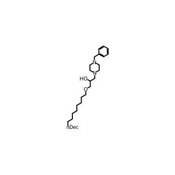 CCCCCCCCCCCCCCCCCCOCC(O)CN1CCN(Cc2ccccc2)CC1